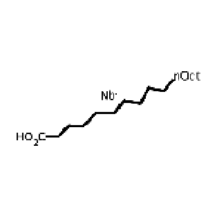 CCCCCCCCCCCCCCCCCC(=O)O.[Nb]